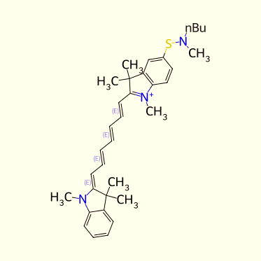 CCCCN(C)Sc1ccc2c(c1)C(C)(C)C(/C=C/C=C/C=C/C=C1/N(C)c3ccccc3C1(C)C)=[N+]2C